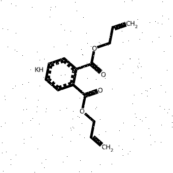 C=CCOC(=O)c1ccccc1C(=O)OCC=C.[KH]